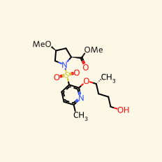 COC(=O)[C@@H]1C[C@H](OC)CN1S(=O)(=O)c1ccc(C)nc1O[C@H](C)CCCO